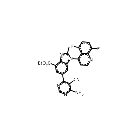 CCOC(=O)c1cc(-c2ncnc(N)c2C#N)cc2c1nc(C)n2-c1ccnc2c(F)ccc(F)c12